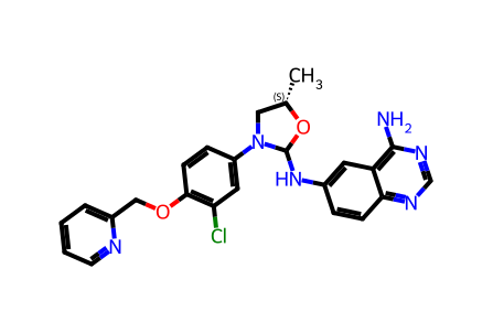 C[C@H]1CN(c2ccc(OCc3ccccn3)c(Cl)c2)C(Nc2ccc3ncnc(N)c3c2)O1